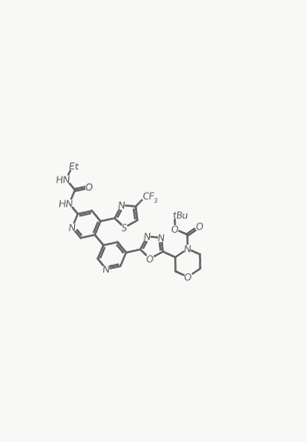 CCNC(=O)Nc1cc(-c2nc(C(F)(F)F)cs2)c(-c2cncc(-c3nnc(C4COCCN4C(=O)OC(C)(C)C)o3)c2)cn1